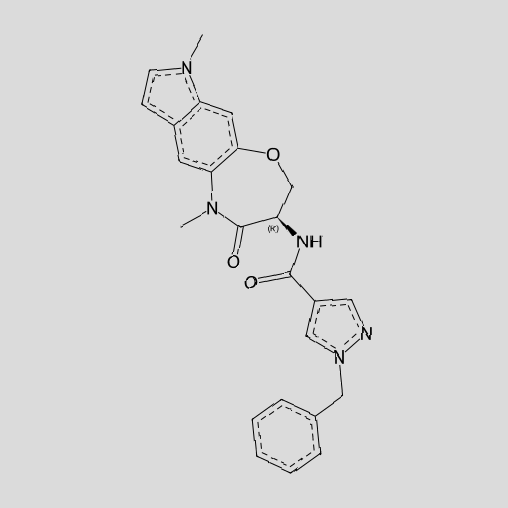 CN1C(=O)[C@H](NC(=O)c2cnn(Cc3ccccc3)c2)COc2cc3c(ccn3C)cc21